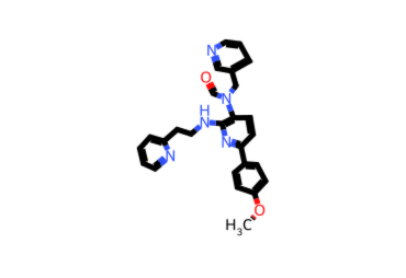 COc1ccc(-c2ccc(N(C=O)Cc3cccnc3)c(NCCc3ccccn3)n2)cc1